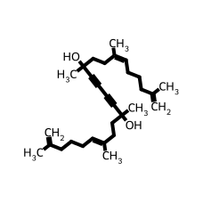 C=C(C)CCCC=C(C)CCC(C)(O)C#CC#CC(C)(O)CCC(C)=CCCCC(=C)C